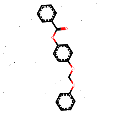 O=C(Oc1ccc(OCOc2ccccc2)cc1)c1ccccc1